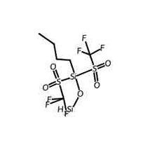 CCCC[Si](O[SiH3])(S(=O)(=O)C(F)(F)F)S(=O)(=O)C(F)(F)F